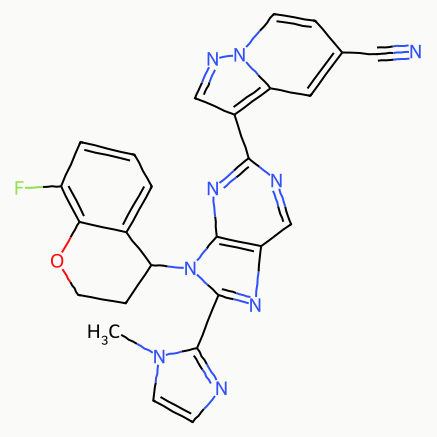 Cn1ccnc1-c1nc2cnc(-c3cnn4ccc(C#N)cc34)nc2n1C1CCOc2c(F)cccc21